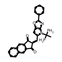 CC(P)(P)n1c(C=C2C(=O)c3cc4ccccc4cc3C2=O)cc2oc(-c3ccccc3)nc21